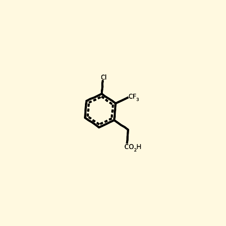 O=C(O)Cc1cccc(Cl)c1C(F)(F)F